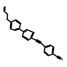 C=CCCc1ccc(-c2ccc(C#Cc3ccc(C#N)cc3)cc2)cc1